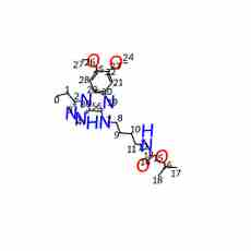 CCc1nnc2c(NCCCCNC(=O)OC(C)C)nc3cc(OC)c(OC)cc3n12